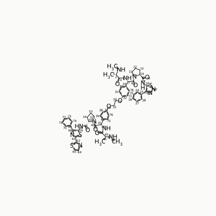 CN[C@@H](C)C(=O)N[C@H](C(=O)N1CCC[C@H]1C(=O)Nc1snnc1-c1ccccc1)c1ccc(OCCOc2ccc([C@H](NC(=O)[C@H](C)NC)C(=O)N3CCC[C@H]3C(=O)Nc3sc(-c4nccs4)nc3-c3ccccc3)cc2)cc1